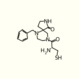 N[C@@H](CS)C(=O)N1CCN(Cc2ccccc2)C2(CCNC2=O)C1